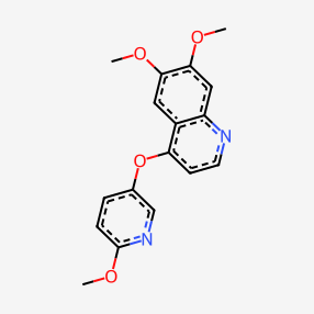 COc1ccc(Oc2ccnc3cc(OC)c(OC)cc23)cn1